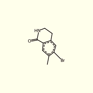 Cc1cc2c(cc1Br)CCNC2=O